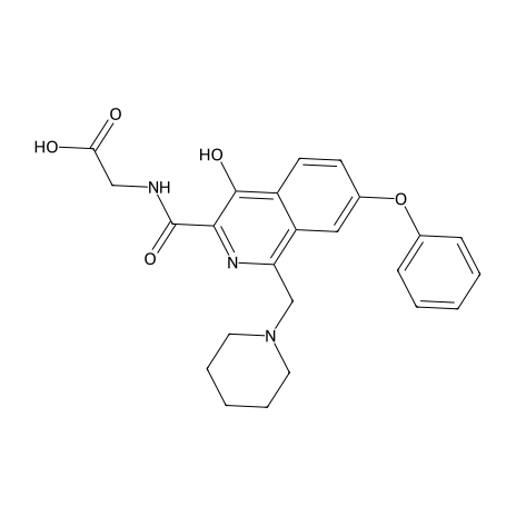 O=C(O)CNC(=O)c1nc(CN2CCCCC2)c2cc(Oc3ccccc3)ccc2c1O